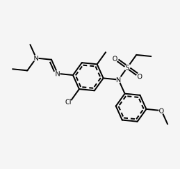 CCN(C)C=Nc1cc(C)c(N(c2cccc(OC)c2)S(=O)(=O)CC)cc1Cl